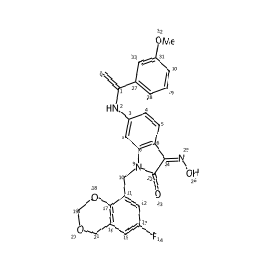 C=C(Nc1ccc2c(c1)N(Cc1cc(F)cc3c1OCOC3)C(=O)/C2=N\O)c1cccc(OC)c1